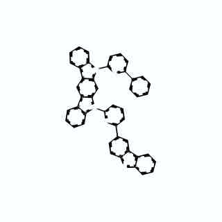 c1ccc(-c2cccc(-n3c4ccccc4c4cc5c6ccccc6n(-c6cccc(-c7ccc8sc9ccccc9c8c7)n6)c5cc43)n2)cc1